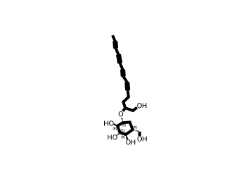 CC#CC#CC#CC#CCCC(CO)O[C@@H]1C[C@H](CO)[C@@H](O)[C@H](O)[C@H]1O